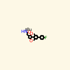 Cc1cc(-c2ccc(F)cc2)cc(C)c1C1C(=O)CC(CC(=O)NC(C)(C)C)C1=O